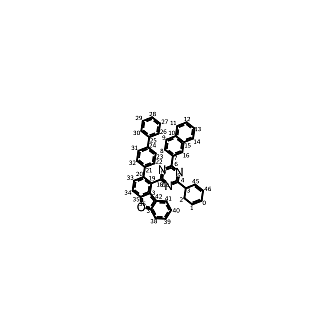 C1=CCC(c2nc(-c3ccc4ccccc4c3)nc(-c3c(-c4ccc(-c5ccccc5)cc4)ccc4oc5ccccc5c34)n2)C=C1